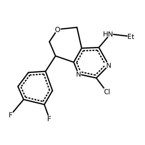 CCNc1nc(Cl)nc2c1COCC2c1ccc(F)c(F)c1